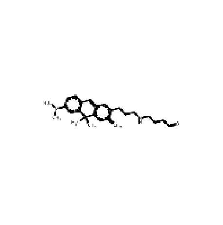 C=c1cc2c(cc1CCCNCCCC=O)=Cc1ccc(N(C)C)cc1C2(C)C